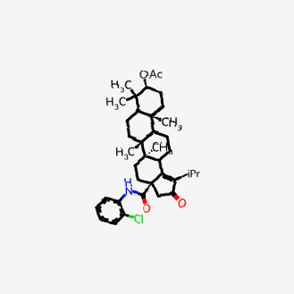 CC(=O)O[C@H]1CC[C@@]2(C)C(CC[C@]3(C)C2CCC2C4=C(C(C)C)C(=O)C[C@]4(C(=O)Nc4ccccc4Cl)CC[C@]23C)C1(C)C